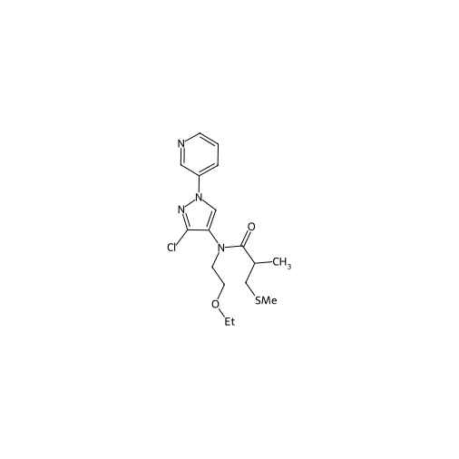 CCOCCN(C(=O)C(C)CSC)c1cn(-c2cccnc2)nc1Cl